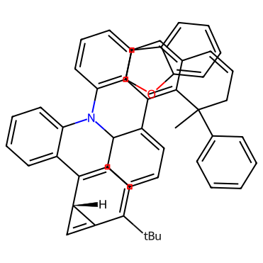 CC(C)(C)C1=CC=C(c2ccccc2N(c2cccc3c2oc2ccccc23)C2CC=CC=C2C2=C3C(=CCC2)C=CCC3(C)c2ccccc2)[C@H]2C=C12